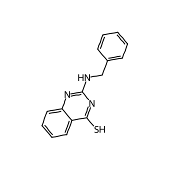 Sc1nc(NCc2ccccc2)nc2ccccc12